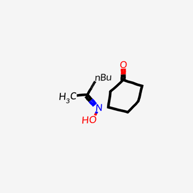 CCCCC(C)=NO.O=C1CCCCC1